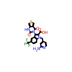 Nc1cc(Cn2c(C(=O)O)c(-n3c(=O)[nH]c4cscc4c3=O)c3cc(C(F)(F)F)ccc32)ccn1